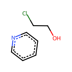 OCCCl.c1ccncc1